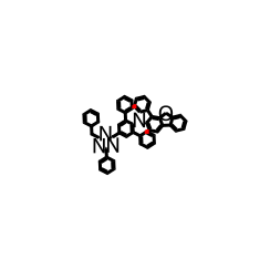 C1=CCC(Cc2nc(-c3ccccc3)nc(-c3cc(-c4ccccc4)c(-n4c5ccccc5c5c6oc7ccccc7c6ccc54)c(-c4ccccc4)c3)n2)C=C1